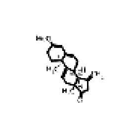 C=C1CC(=O)[C@@]2(C)CC=C3[C@@H](CC=C4C=C(OC)CC[C@@]43C)[C@H]12